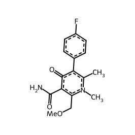 COCc1c(C(N)=O)c(=O)c(-c2ccc(F)cc2)c(C)n1C